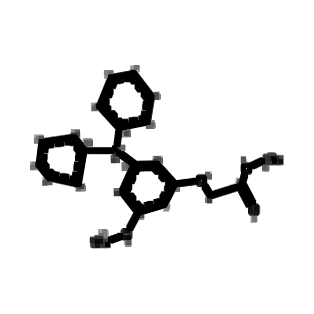 CC(C)(C)OC(=O)COc1cc(OC(C)(C)C)cc([S+](c2ccccc2)c2ccccc2)c1